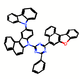 c1ccc(-c2nc(-c3cc4oc5ccccc5c4c4ccccc34)nc(-n3c4ccc(-n5c6ccccc6c6ccccc65)cc4c4c5ccccc5ccc43)n2)cc1